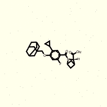 O=C(O)[C@@H]1C2CC(C2)N1C(=O)c1cc(C2CC2)c(OCC23CC4CC(CC(C4)C2)C3)cc1F